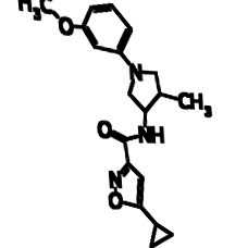 COc1cccc(N2CC(C)C(NC(=O)c3cc(C4CC4)on3)C2)c1